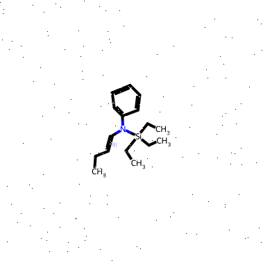 CC/C=C/N(c1ccccc1)[Si](CC)(CC)CC